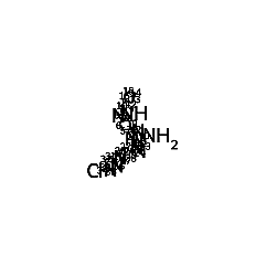 Nc1nc(-c2ccc3nc(Cc4ccccc4)[nH]c3c2)nc2c1cnn2C1CCN(c2ccc(Cl)nn2)CC1